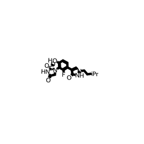 CC(C)CCn1cc(-c2ccc(O)c(N3CC(=O)NS3(=O)=O)c2F)c(=O)[nH]1